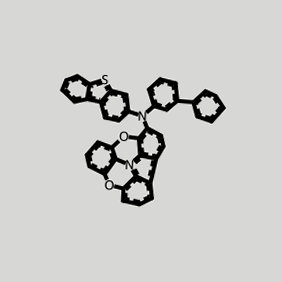 c1ccc(-c2cccc(N(c3ccc4c(c3)sc3ccccc34)c3ccc4c5cccc6c5n5c4c3Oc3cccc(c3-5)O6)c2)cc1